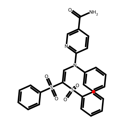 NC(=O)c1ccc(N(C=C(S(=O)(=O)c2ccccc2)S(=O)(=O)c2ccccc2)c2ccccc2)nc1